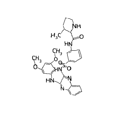 COc1cc(Nc2nc3ccccc3nc2NS(=O)(=O)c2cccc(NC(=O)C3NCCCC3C)c2)cc(OC)c1